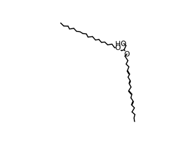 CCCCCC=CCC=CCC=CCC=CCCCCOC(CO)COCCCCCCCCCCCCCCCCCC